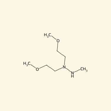 CNN(CCOC)CCOC